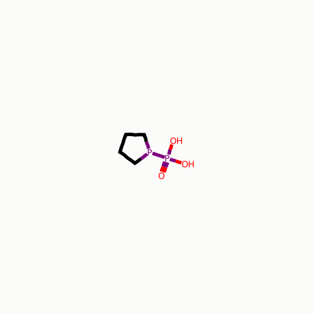 O=P(O)(O)P1CCCC1